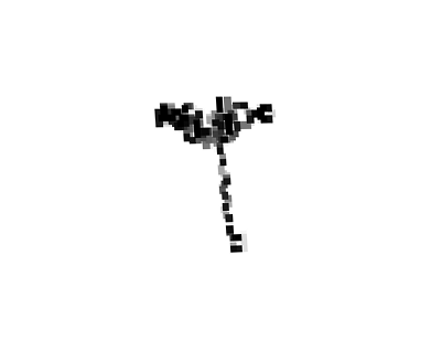 C[C@]12CC[C@H]3[C@@H]([C@H](CCCCCCCCCCl)CC4=CC(=O)CC[C@@H]43)[C@@H]1CC[C@@H]2O